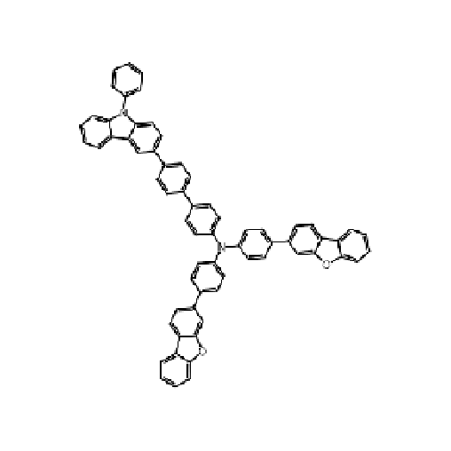 c1ccc(-n2c3ccccc3c3cc(-c4ccc(-c5ccc(N(c6ccc(-c7ccc8c(c7)oc7ccccc78)cc6)c6ccc(-c7ccc8c(c7)oc7ccccc78)cc6)cc5)cc4)ccc32)cc1